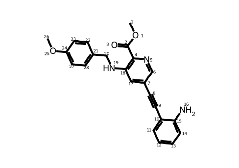 COC(=O)c1ncc(C#Cc2ccccc2N)cc1NCc1ccc(OC)cc1